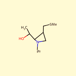 CSCC1CN(C(C)C)C1C(C)O